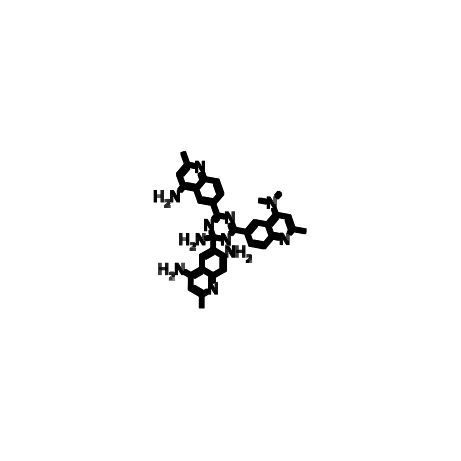 Cc1cc(N)c2cc(C3=NC(N)(c4ccc5nc(C)cc(N)c5c4)N(N)C(c4ccc5nc(C)cc(N(C)C)c5c4)=N3)ccc2n1